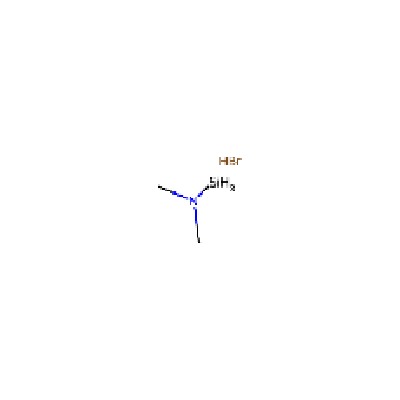 Br.CN(C)[SiH3]